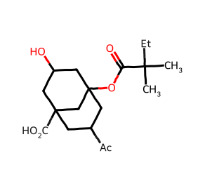 CCC(C)(C)C(=O)OC12CC(O)CC(C(=O)O)(CC(C(C)=O)C1)C2